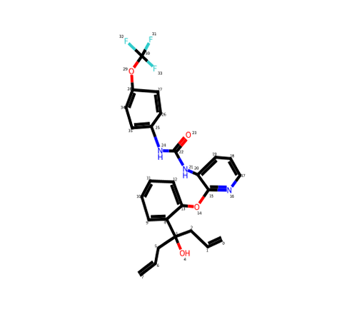 C=CCC(O)(CC=C)c1ccccc1Oc1ncccc1NC(=O)Nc1ccc(OC(F)(F)F)cc1